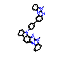 Cn1c2ccccc2n2c3cc(-c4ccc(-n5c6ccccc6c6ccc7c(nc8n(C)c9ccccc9n78)c65)cc4)ccc3nc12